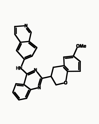 COc1ccc2c(c1)CC(c1nc(Nc3ccc4cnccc4c3)c3ccccc3n1)CO2